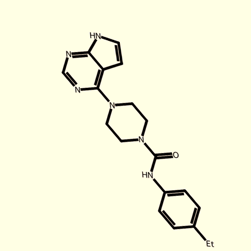 CCc1ccc(NC(=O)N2CCN(c3ncnc4[nH]ccc34)CC2)cc1